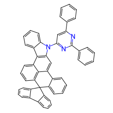 c1ccc(-c2cc(-n3c4ccccc4c4c5cccc6c5c(cc43)-c3ccccc3C63c4ccccc4-c4ccccc43)nc(-c3ccccc3)n2)cc1